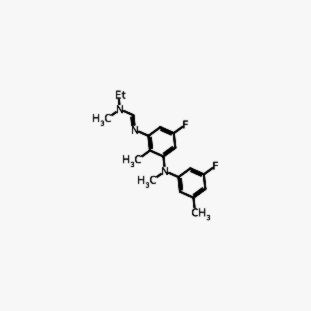 CCN(C)C=Nc1cc(F)cc(N(C)c2cc(C)cc(F)c2)c1C